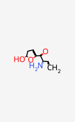 C=C[C](N)C(=O)C1=CCC(O)O1